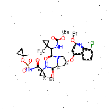 CCOc1cc(O[C@@H]2C[C@@H](C(=O)N[C@]3(C(=O)NS(=O)(=O)OC4(C)CC4)C[C@H]3CC)N(C(=O)C(NC(=O)OC(C)(C)C)C3(C(F)(F)F)CC3)C2)c2cccc(Cl)c2n1